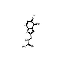 O=C(O)NCc1cc2c(s1)C=CC(=O)C2=O